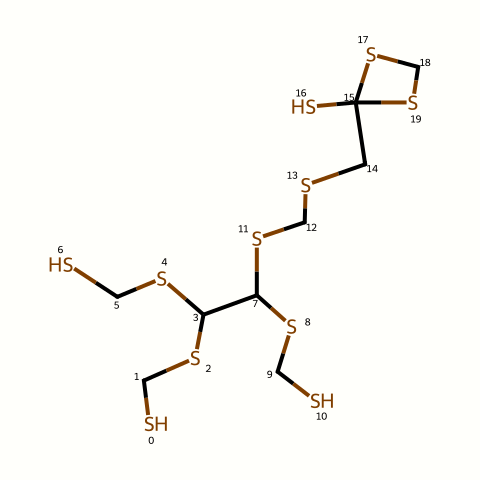 SCSC(SCS)C(SCS)SCSCC1(S)SCS1